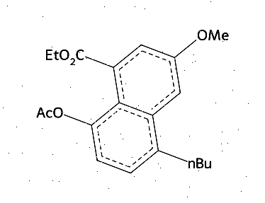 CCCCc1ccc(OC(C)=O)c2c(C(=O)OCC)cc(OC)cc12